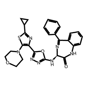 O=C1Nc2ccccc2C(c2ccccc2)=N[C@@H]1Nc1nnc(-c2nc(C3CC3)sc2N2CCOCC2)o1